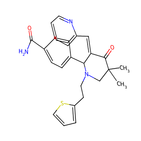 CC1(C)CN(CCc2cccs2)C(c2ccc(C(N)=O)cc2)/C(=C\c2ccccn2)C1=O